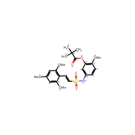 COc1cc(OC)c(/C=C/S(=O)(=O)Nc2ccc(OC)c(OC(=O)C(C)(C)OC(C)=O)c2)c(OC)c1